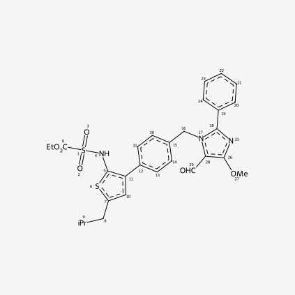 CCOC(=O)S(=O)(=O)Nc1sc(CC(C)C)cc1-c1ccc(Cn2c(-c3ccccc3)nc(OC)c2C=O)cc1